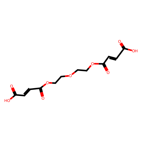 O=C(O)C=CC(=O)OCCOCCOC(=O)C=CC(=O)O